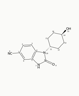 N#Cc1ccc2c(c1)[nH]c(=O)n2[C@H]1CC[C@H](O)CC1